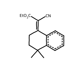 CCOC(=O)C(C#N)=C1CCC(C)(C)c2ccccc21